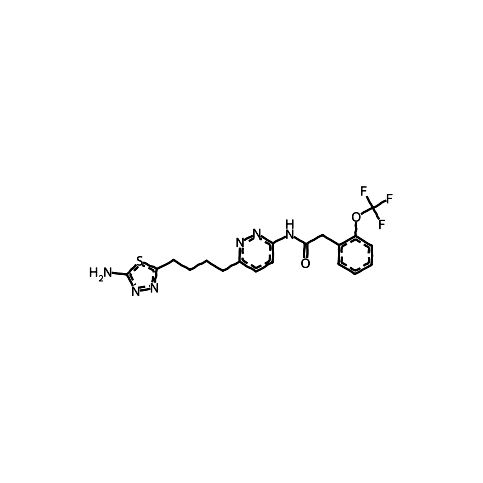 Nc1nnc(CCCCc2ccc(NC(=O)Cc3ccccc3OC(F)(F)F)nn2)s1